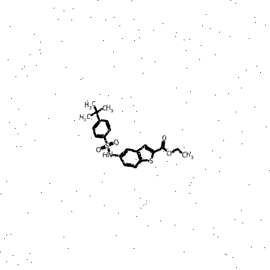 CCOC(=O)c1cc2cc(NS(=O)(=O)c3ccc(C(C)(C)C)cc3)ccc2s1